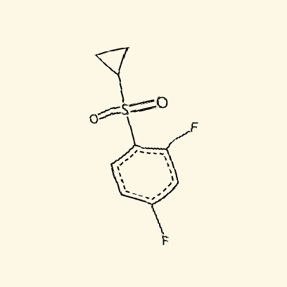 O=S(=O)(c1ccc(F)cc1F)C1CC1